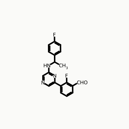 CC(Nc1cncc(-c2cccc(C=O)c2F)n1)c1ccc(F)cc1